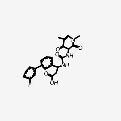 CC1=CN(C)C(=O)C(NC(=O)NC(CC(=O)O)c2cccc(-c3cccc(F)c3)c2)C1=O